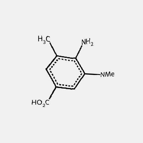 CNc1cc(C(=O)O)cc(C)c1N